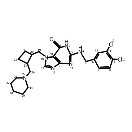 O=c1[nH]c(NCc2ccc(Cl)c(Cl)c2)nc2ncn(CC3CCC3CN3CCCCC3)c12